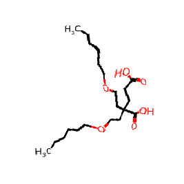 CCCCCCOCCC(CCOCCCCCC)(CCC(=O)O)C(=O)O